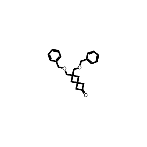 O=C1CC2(C1)CC(COCc1ccccc1)(COCc1ccccc1)C2